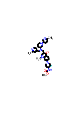 Cc1ccc(N2CCC[C@H](N(Cc3ccnc(C)c3)Cc3cn(C)c4cc(N5CC[C@H](NC(=O)OC(C)(C)C)C(F)(F)C5)ccc4c3=O)C2)cn1